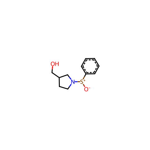 [O-][S+](c1ccccc1)N1CCC(CO)C1